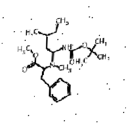 CCC(C)CC(NC(=O)OC(C)(C)C)N(C)C(Cc1ccccc1)C(=O)OC